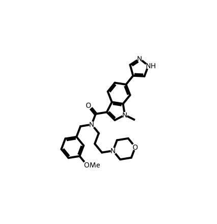 COc1cccc(CN(CCCN2CCOCC2)C(=O)c2cn(C)c3cc(-c4cn[nH]c4)ccc23)c1